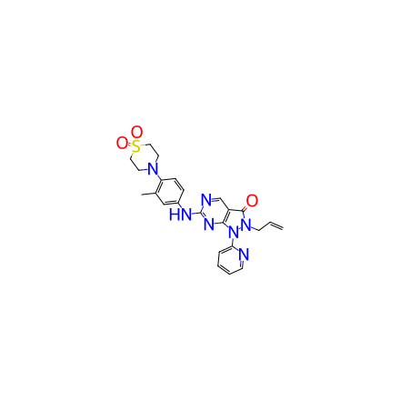 C=CCn1c(=O)c2cnc(Nc3ccc(N4CCS(=O)(=O)CC4)c(C)c3)nc2n1-c1ccccn1